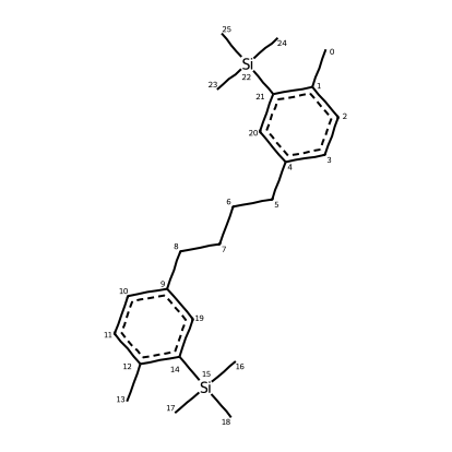 Cc1ccc(CCCCc2ccc(C)c([Si](C)(C)C)c2)cc1[Si](C)(C)C